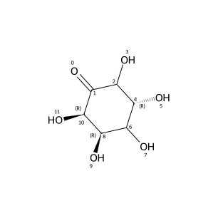 O=C1C(O)[C@H](O)C(O)[C@@H](O)[C@H]1O